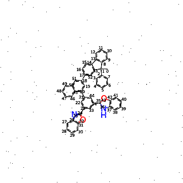 CC1(c2ccccc2)c2ccccc2-c2ccc(-c3cc(-c4cc(-c5nc6ccccc6o5)cc(C5Nc6ccccc6O5)c4)c4ccccc4c3)cc21